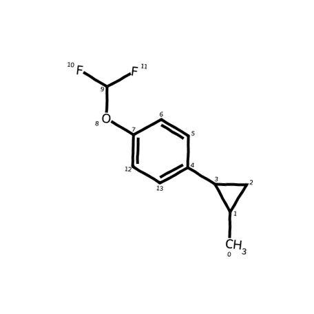 CC1CC1c1ccc(OC(F)F)cc1